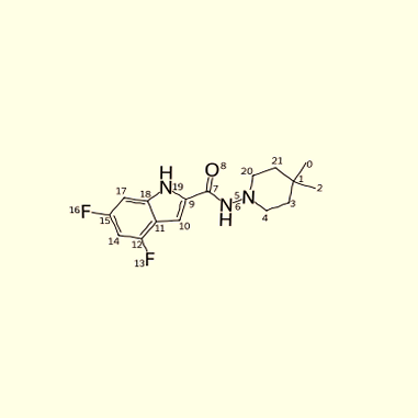 CC1(C)CCN(NC(=O)c2cc3c(F)cc(F)cc3[nH]2)CC1